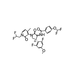 COc1cc(F)c([C@@H]2CN(c3c(C)ccn(CC(F)F)c3=O)C(=O)[C@H]2NC(=O)c2ccc(OC(F)F)cc2)c(F)c1